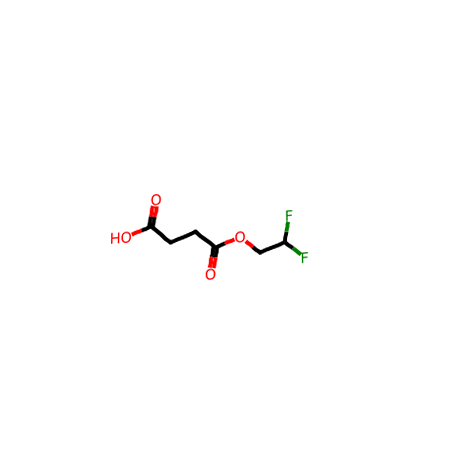 O=C(O)CCC(=O)OCC(F)F